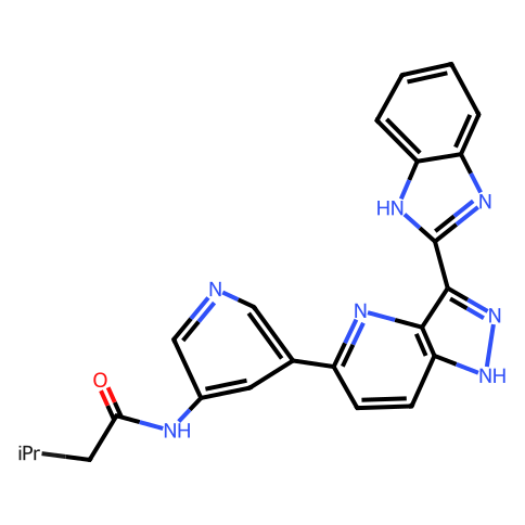 CC(C)CC(=O)Nc1cncc(-c2ccc3[nH]nc(-c4nc5ccccc5[nH]4)c3n2)c1